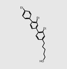 CCc1ccc(-c2ccc(-c3ccc(CCCCCO)cc3CC)cc2CC)cc1